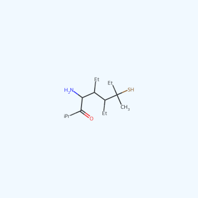 CCC(C(N)C(=O)C(C)C)C(CC)C(C)(S)CC